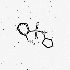 Nc1ccccc1S(=O)(=O)NC1CCCC1